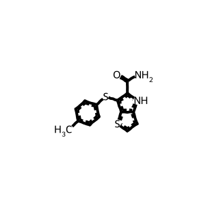 Cc1ccc(Sc2c(C(N)=O)[nH]c3ccsc23)cc1